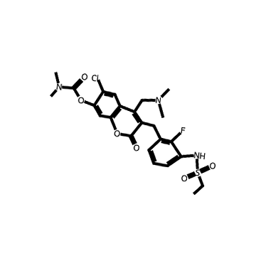 CCS(=O)(=O)Nc1cccc(Cc2c(CN(C)C)c3cc(Cl)c(OC(=O)N(C)C)cc3oc2=O)c1F